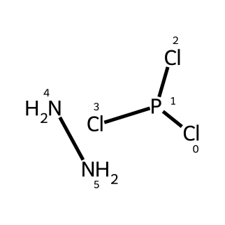 ClP(Cl)Cl.NN